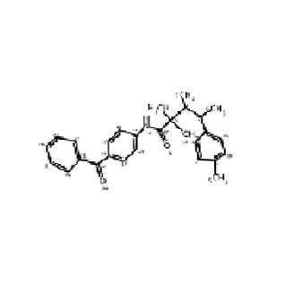 Cc1ccc(C(C)C(C)C(C)(C)C(=O)Nc2ccc(C(=O)c3ccccc3)cc2)cc1